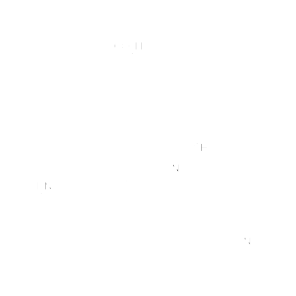 C[n+]1c(-c2ccc(C(=O)O)cc2)c2cc(N)ccc2c2ccc(N)cc21